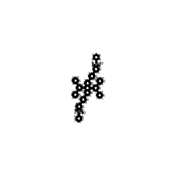 Cn1c(-c2ccccc2)nc2cc(-c3ccc(-c4ccc5c(-c6cc(-c7ccccc7)cc(-c7ccccc7)c6)c6cc(-c7ccc(-c8ccc9nc(-c%10ccccc%10)n(C)c9c8)cc7)ccc6c(-c6cc(-c7ccccc7)cc(-c7ccccc7)c6)c5c4)cc3)ccc21